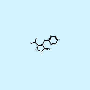 CC(C)c1[nH][nH]c(=O)c1Cc1ccccc1